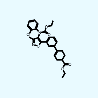 CCOC(=O)C1CC=C(c2cccc(-c3onc(C)c3N(C(=O)OCC)c3ccccc3Cl)c2)CC1